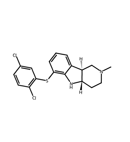 CN1CC[C@@H]2Nc3c(Sc4cc(Cl)ccc4Cl)cccc3[C@H]2C1